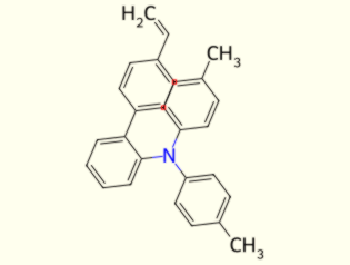 C=Cc1ccc(-c2ccccc2N(c2ccc(C)cc2)c2ccc(C)cc2)cc1